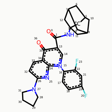 O=C(NC12CC3CC(CC(C3)C1)C2)c1cn(-c2ccc(F)cc2F)c2nc(N3CCCC3)ccc2c1=O